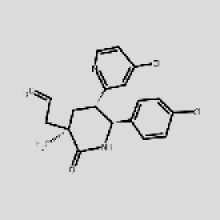 C=CC[C@@]1(C)C[C@H](c2cc(Cl)ccn2)[C@@H](c2ccc(Cl)cc2)NC1=O